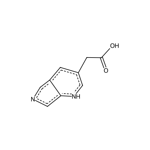 O=C(O)Cc1c[nH]c2cncc-2c1